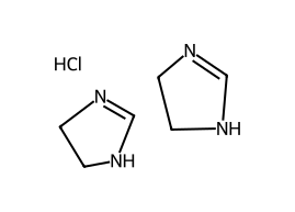 C1=NCCN1.C1=NCCN1.Cl